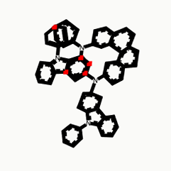 C1=CC(n2c3ccccc3c3cc(N(c4ccc5ccc6ccc7ccc(N(c8ccccc8)c8ccccc8)cc7c6c5c4)c4ccc5c(c4)c4ccccc4n5-c4ccccc4)ccc32)=CCC1